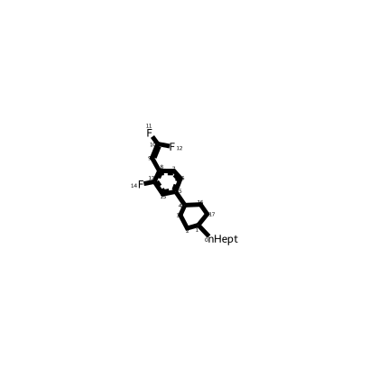 CCCCCCCC1CCC(c2ccc(C=C(F)F)c(F)c2)CC1